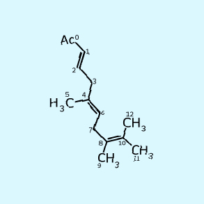 CC(=O)/C=C/C/C(C)=C/CC(C)=C(C)C